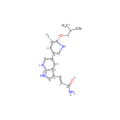 CC(C#N)COc1ncc(-c2cnc3[nH]cc(C=CC(N)=O)c3c2)cc1F